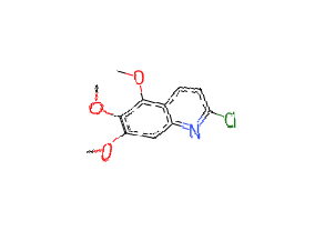 COc1cc2nc(Cl)ccc2c(OC)c1OC